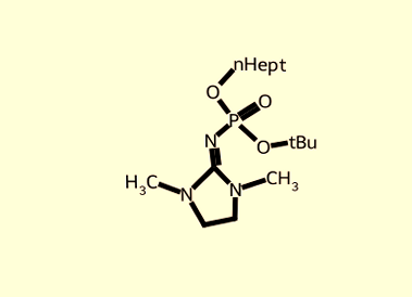 CCCCCCCOP(=O)(N=C1N(C)CCN1C)OC(C)(C)C